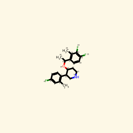 Cc1cc(F)ccc1C1CNCCC1OC(C)c1ccc(F)c(F)c1C